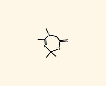 CC1=NC(C)(C)OC(=O)CN1C